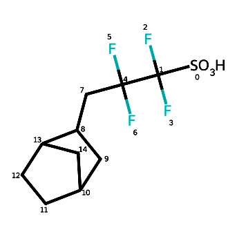 O=S(=O)(O)C(F)(F)C(F)(F)CC1CC2CCC1C2